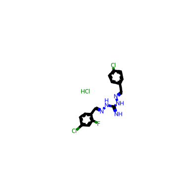 Cl.N=C(NN=Cc1ccc(Cl)cc1)NN=Cc1ccc(Cl)cc1F